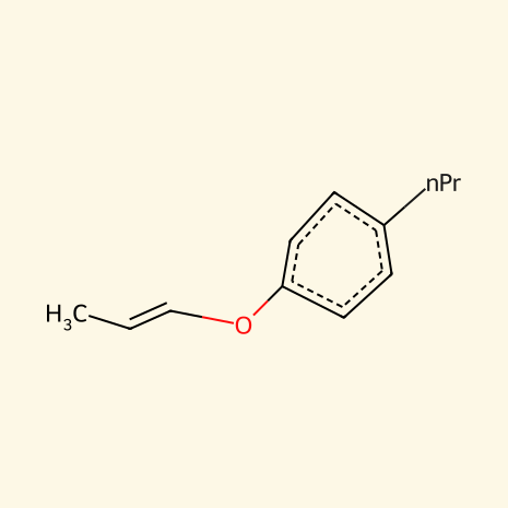 CC=COc1ccc(CCC)cc1